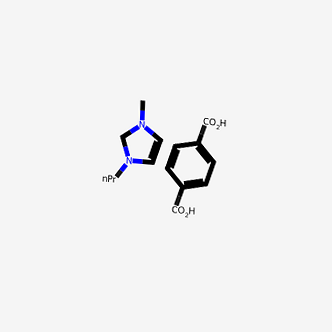 CCCN1C=CN(C)C1.O=C(O)c1ccc(C(=O)O)cc1